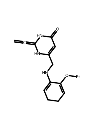 C=C=C1NC(=O)C=C(CNC2=CCCC=C2OCC)N1